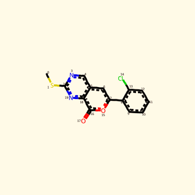 CSc1ncc2cc(-c3ccccc3Cl)oc(=O)c2n1